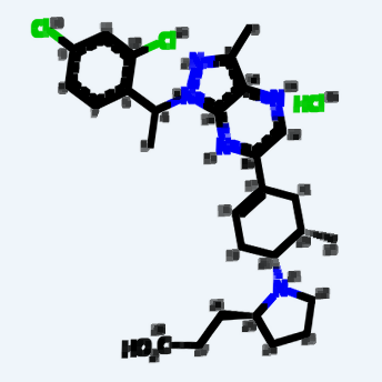 Cc1nn(C(C)c2ccc(Cl)cc2Cl)c2nc(C3=CC[C@@H](N4CCC[C@H]4CCC(=O)O)[C@@H](C)C3)cnc12.Cl